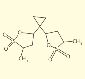 CC1CC(C2(C3CC(C)S(=O)(=O)O3)CC2)OS1(=O)=O